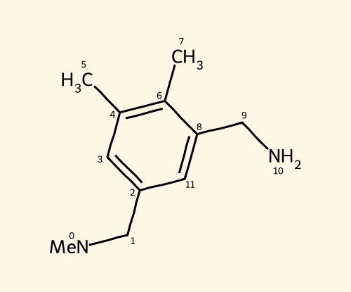 CNCc1cc(C)c(C)c(CN)c1